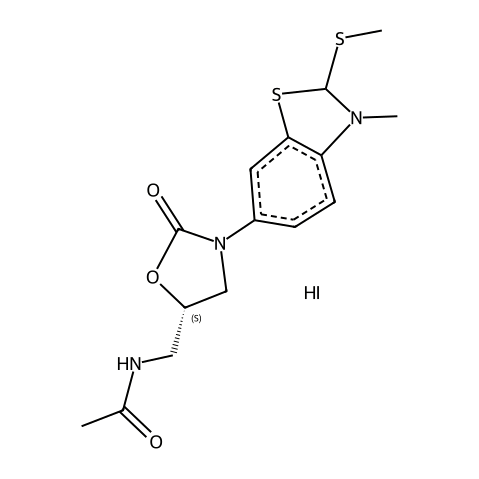 CSC1Sc2cc(N3C[C@H](CNC(C)=O)OC3=O)ccc2N1C.I